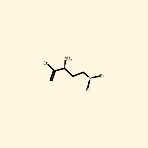 C=C(CC)[C@@H](N)CCN(CC)CC